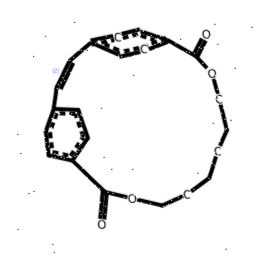 O=C1OCCCCCCOC(=O)c2ccc(cc2)/C=C\c2ccc1cc2